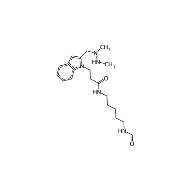 CNN(C)Cc1cc2ccccc2n1CCC(=O)NCCCCCNC=O